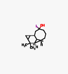 CC1(C)C2CC2C2CC(O)(I)CCC[C@H]3C2[C@@H]31